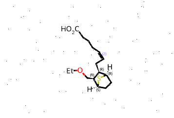 CCOC[C@H]1[C@@H](C/C=C\CCCC(=O)O)[C@H]2CC[C@@H]1S2